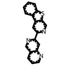 c1cnc2cc(-c3cc4c(cn3)sc3ccccc34)ncc2c1